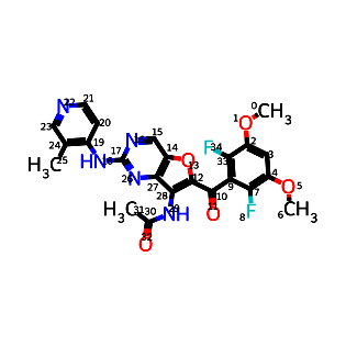 COc1cc(OC)c(F)c(C(=O)c2oc3cnc(Nc4ccncc4C)nc3c2NC(C)=O)c1F